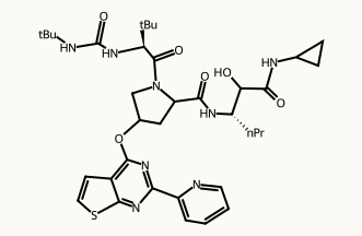 CCC[C@H](NC(=O)C1CC(Oc2nc(-c3ccccn3)nc3sccc23)CN1C(=O)[C@@H](NC(=O)NC(C)(C)C)C(C)(C)C)C(O)C(=O)NC1CC1